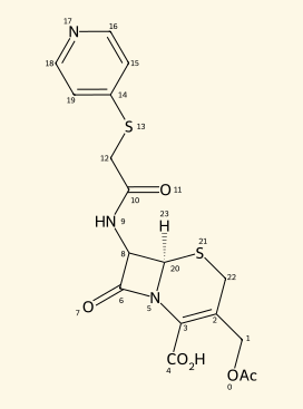 CC(=O)OCC1=C(C(=O)O)N2C(=O)C(NC(=O)CSc3ccncc3)[C@H]2SC1